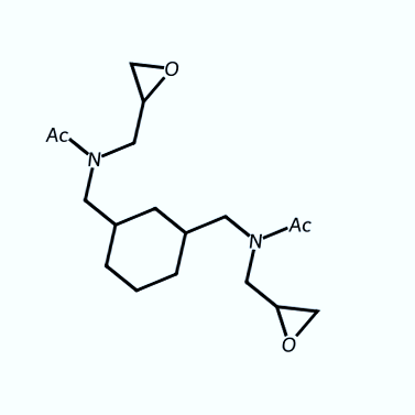 CC(=O)N(CC1CCCC(CN(CC2CO2)C(C)=O)C1)CC1CO1